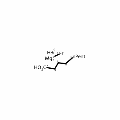 Br.CCCCCCCCC(=O)O.C[CH2][Mg+]